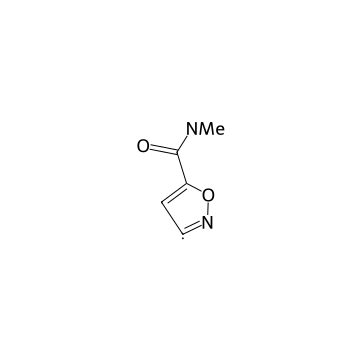 CNC(=O)c1c[c]no1